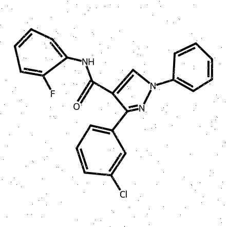 O=C(Nc1ccccc1F)c1cn(-c2ccccc2)nc1-c1cccc(Cl)c1